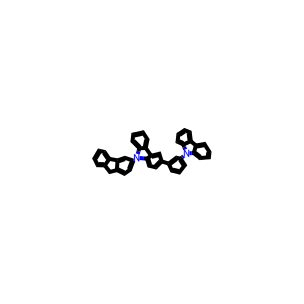 c1cc(-c2ccc3c(c2)c2ccccc2n3-c2ccc3c(c2)-c2ccccc2C3)cc(-n2c3ccccc3c3ccccc32)c1